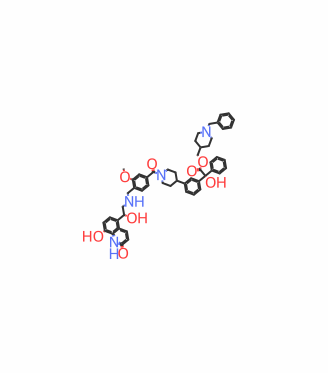 COc1cc(C(=O)N2CCC(c3cccc(C(O)(C(=O)OCC4CCN(Cc5ccccc5)CC4)c4ccccc4)c3)CC2)ccc1CNCC(O)c1ccc(O)c2[nH]c(=O)ccc12